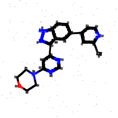 N#Cc1cc(-c2ccc3[nH]nc(-c4cc(N5CCOCC5)ncn4)c3c2)ccn1